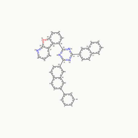 c1ccc(-c2ccc3ccc(-c4nc(-c5ccc6ccccc6c5)nc(-c5cccc6oc7ncccc7c56)n4)cc3c2)cc1